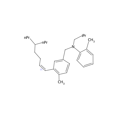 CCCC(CCC)CC/C=C\c1cc(CN(CC(C)C)c2ccccc2C)ccc1C